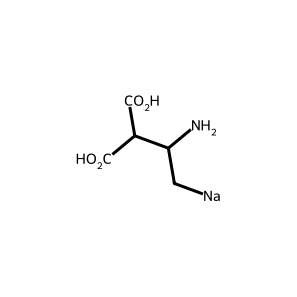 NC([CH2][Na])C(C(=O)O)C(=O)O